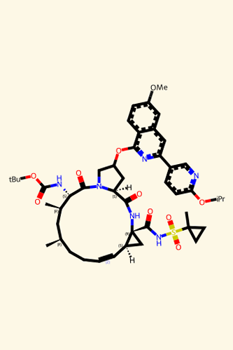 COc1ccc2c(OC3C[C@H]4C(=O)N[C@]5(C(=O)NS(=O)(=O)C6(C)CC6)C[C@H]5/C=C\CC[C@@H](C)C[C@@H](C)[C@H](NC(=O)OC(C)(C)C)C(=O)N4C3)nc(-c3ccc(OC(C)C)nc3)cc2c1